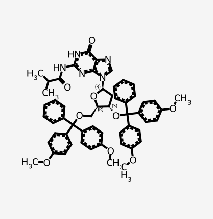 COc1ccc(C(OC[C@H]2O[C@@H](n3cnc4c(=O)[nH]c(NC(=O)C(C)C)nc43)C[C@@H]2OC(c2ccccc2)(c2ccc(OC)cc2)c2ccc(OC)cc2)(c2ccccc2)c2ccc(OC)cc2)cc1